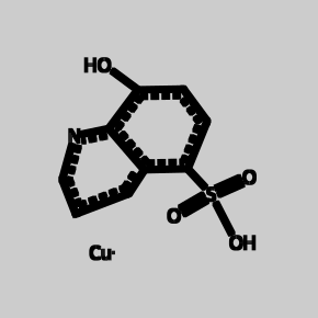 O=S(=O)(O)c1ccc(O)c2ncccc12.[Cu]